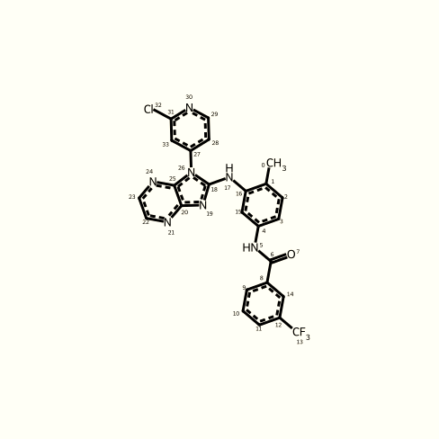 Cc1ccc(NC(=O)c2cccc(C(F)(F)F)c2)cc1Nc1nc2nccnc2n1-c1ccnc(Cl)c1